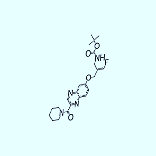 CC(C)(C)OC(=O)NC/C(=C\F)COc1ccc2nc(C(=O)N3CCCCC3)cnc2c1